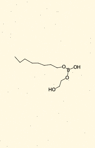 CCCCCCCCOB(O)OCCO